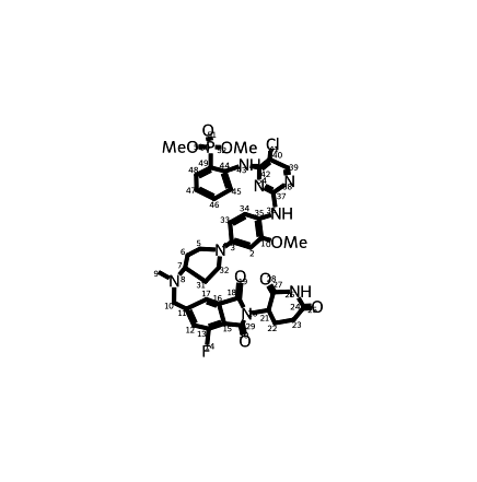 COc1cc(N2CCC(N(C)Cc3cc(F)c4c(c3)C(=O)N(C3CCC(=O)NC3=O)C4=O)CC2)ccc1Nc1ncc(Cl)c(Nc2ccccc2P(=O)(OC)OC)n1